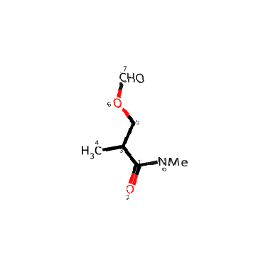 CNC(=O)C(C)COC=O